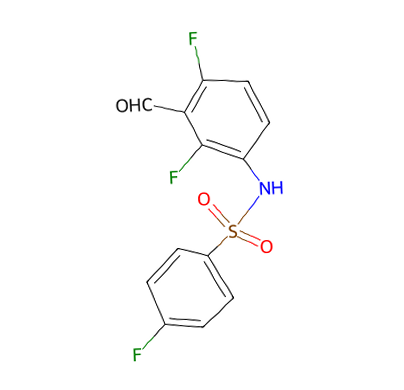 O=Cc1c(F)ccc(NS(=O)(=O)c2ccc(F)cc2)c1F